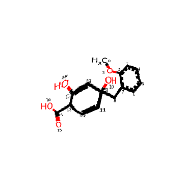 COc1ccccc1CC1(O)C=CC(C(=O)O)C(O)=C1